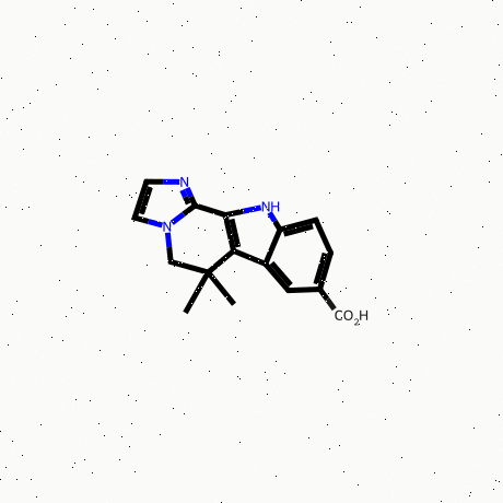 CC1(C)Cn2ccnc2-c2[nH]c3ccc(C(=O)O)cc3c21